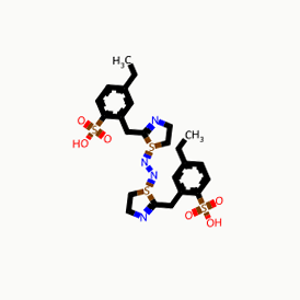 CCc1ccc(S(=O)(=O)O)c(CC2=NCCS2=NN=S2CCN=C2Cc2cc(CC)ccc2S(=O)(=O)O)c1